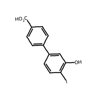 O=C(O)c1ccc(-c2ccc(I)c(O)c2)cc1